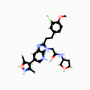 COc1ccc(CCc2nc3cc(-c4c(C)noc4C)cnc3n2CC(=O)NC2CCOC2)cc1F